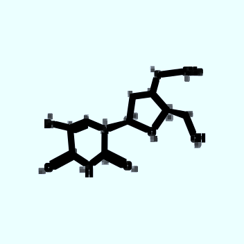 CSSC1C[C@H](n2cc(Br)c(=O)[nH]c2=O)O[C@@H]1CO